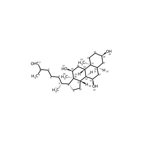 CC(C=O)CCC[C@@H](C)[C@H]1CC[C@H]2[C@@H]3[C@H](O)C[C@@H]4C[C@H](O)CC[C@]4(C)[C@H]3C[C@H](O)[C@]12C